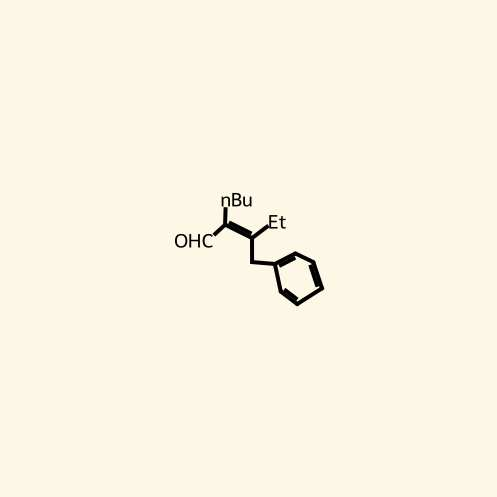 CCCC/C(C=O)=C(\CC)Cc1ccccc1